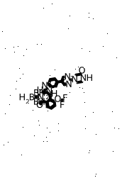 BC(B)(B)N1C(=O)c2cccc(OC(F)F)c2[C@H]2C[C@@H]1c1nc3ccc(-c4cnc(N5CCNC(=O)C5)nc4)cc3n12